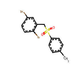 Cc1ccc(S(=O)(=O)[CH]c2cc(Br)ccc2Br)cc1